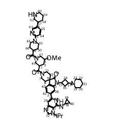 COC1CC(C(=O)N2CCC3(CC2)C(=O)N(C2CC(N4CCCCC4)C2)c2cc(-c4cc5ncn(C(C)C)c5c(NC5CC5)n4)ccc23)CN(C(=O)C2CCN(c3ccc(C4CCCNC4)cn3)CC2)C1